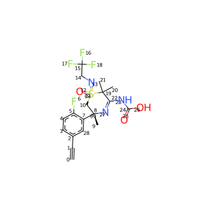 C#Cc1ccc(F)c([C@]2(C)C[S@@](=O)(=NCC(F)(F)F)C(C)(C)C(NC(=O)O)=N2)c1